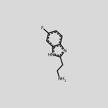 NCCc1nc2ccc(F)cc2[nH]1